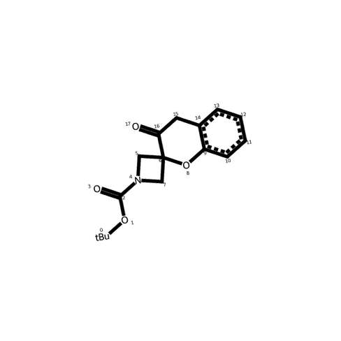 CC(C)(C)OC(=O)N1CC2(C1)Oc1ccccc1CC2=O